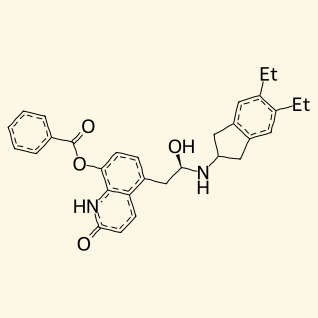 CCc1cc2c(cc1CC)CC(N[C@H](O)Cc1ccc(OC(=O)c3ccccc3)c3[nH]c(=O)ccc13)C2